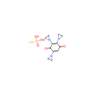 O=C1C=C(N2CC2)C(=O)C(N2CC2)=C1N1CC1.O=P(O)(O)S